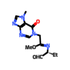 CC[C@H](C=O)/N=C(/Cn1cnc2ncn(C)c2c1=O)OC